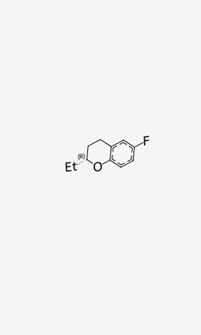 CC[C@@H]1CCc2cc(F)ccc2O1